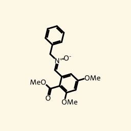 COC(=O)c1c(C=[N+]([O-])Cc2ccccc2)cc(OC)cc1OC